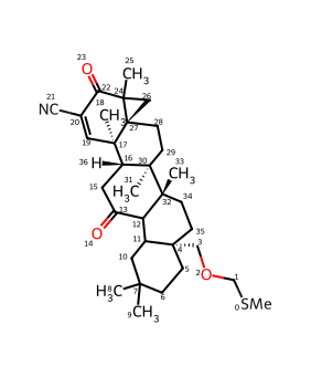 CSCOC[C@]12CCC(C)(C)CC1C1C(=O)C[C@@H]3[C@@]4(C)C=C(C#N)C(=O)C5(C)C[C@]54CC[C@@]3(C)[C@]1(C)CC2